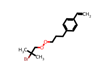 C=Cc1ccc(CCCOOCC(C)(C)Br)cc1